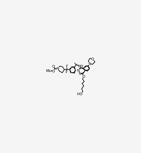 C[C@@H](Nc1nnc(OCCCCCCO)c2ccc(N3CCOCC3)cc12)c1cccc(C(F)(F)C2CCN(C(=O)OC(C)(C)C)CC2)c1